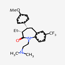 CC[C@H]1C(=O)N(CCN(C)C)c2ccc(C(F)(F)F)cc2C[C@H]1c1ccc(OC)cc1